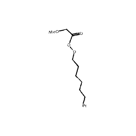 COCC(=O)OOCCCCCCC(C)C